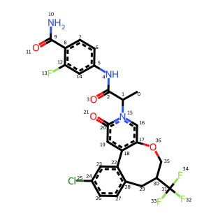 CC(C(=O)Nc1ccc(C(N)=O)c(F)c1)n1cc2c(cc1=O)-c1cc(Cl)ccc1CC(C(F)(F)F)CO2